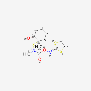 CN(SC1(C)CCCCC1=O)C(=O)ON=C1SCCS1